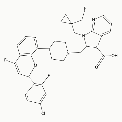 O=C(O)N1c2cccnc2N(CC2(CF)CC2)C1CN1CCC(c2cccc3c2OC(c2ccc(Cl)cc2F)C=C3F)CC1